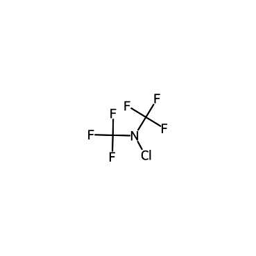 FC(F)(F)N(Cl)C(F)(F)F